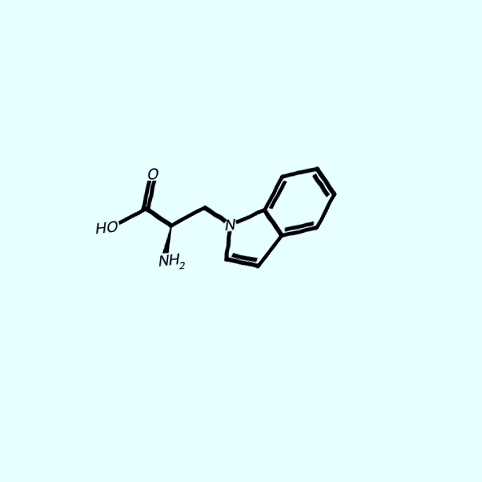 N[C@H](Cn1ccc2ccccc21)C(=O)O